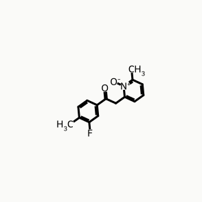 Cc1ccc(C(=O)Cc2cccc(C)[n+]2[O-])cc1F